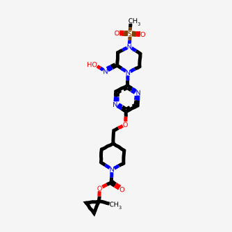 CC1(OC(=O)N2CCC(COc3cnc(N4CCN(S(C)(=O)=O)C/C4=N\O)cn3)CC2)CC1